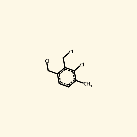 Cc1ccc(CCl)c(CCl)c1Cl